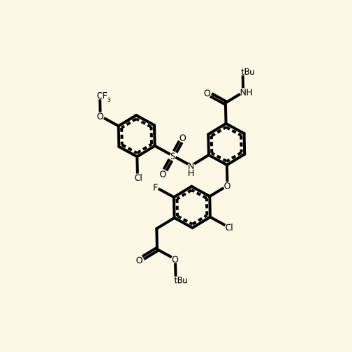 CC(C)(C)NC(=O)c1ccc(Oc2cc(F)c(CC(=O)OC(C)(C)C)cc2Cl)c(NS(=O)(=O)c2ccc(OC(F)(F)F)cc2Cl)c1